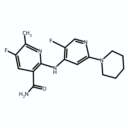 Cc1nc(Nc2cc(N3CCCCC3)ncc2F)c(C(N)=O)cc1F